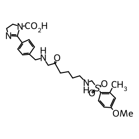 COc1ccc(S(=O)(=O)CNCCCCC(=O)CNCc2ccc(C3=NCCN3C(=O)O)cc2)c(C)c1